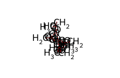 C=CCCC(CC)(CO)COC(=O)CCN(CCCCCCN(CCC(=O)OCC(CC)(COC(=O)C=C)COC(=O)C=C)CCC(=O)OCC(CC)(COC(=O)C=C)COC(=O)CC)CCC(=O)OCC(CC)(COC(=O)C=C)COC(=O)C=C